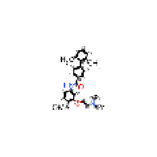 COc1ccc(NC(=O)c2ccc(-c3c(C)cccc3C)cc2)cc1OCCN(C(C)C)C(C)C